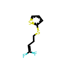 FC(F)=CCCSc1cccs1